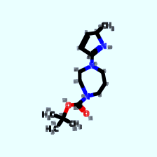 CC1C=CC(N2CCCN(C(=O)OC(C)(C)C)CC2)=N1